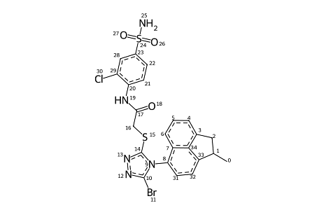 CC1Cc2cccc3c(-n4c(Br)nnc4SCC(=O)Nc4ccc(S(N)(=O)=O)cc4Cl)ccc1c23